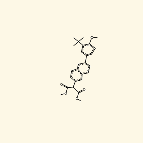 COC(=O)C(C(=O)OC)c1ccc2cc(-c3ccc(OC)c(C(C)(C)C)c3)ccc2c1